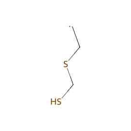 [CH2]CSCS